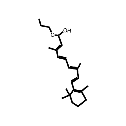 CCCOC(O)C=C(C)C=CC=C(C)C=CC1=C(C)CCCC1(C)C